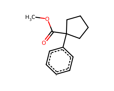 COC(=O)C1(c2cc[c]cc2)CCCC1